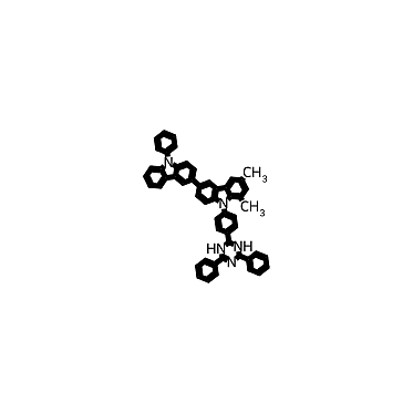 Cc1cc(C)c2c(c1)c1cc(-c3ccc4c(c3)c3ccccc3n4-c3ccccc3)ccc1n2-c1ccc(C2NC(c3ccccc3)=NC(c3ccccc3)N2)cc1